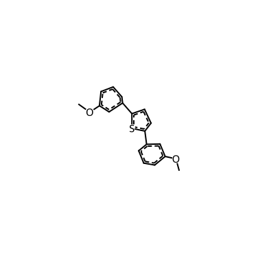 COc1cccc(-c2ccc(-c3cccc(OC)c3)s2)c1